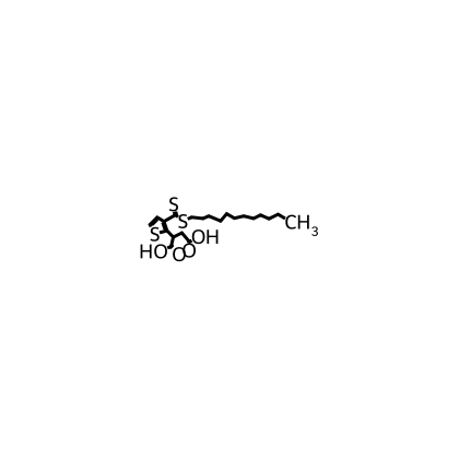 CCCCCCCCCCCCSC(=S)c1ccsc1C(CC(=O)O)C(=O)O